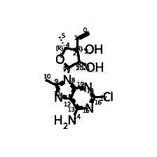 C=C[C@]1(O)[C@@H](C)O[C@@H](n2c(C)nc3c(N)nc(Cl)nc32)[C@@H]1O